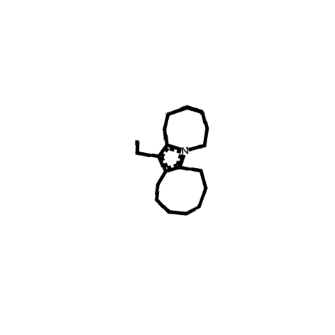 CCc1c2c(n3c1CCCCCC3)CCCCCCC2